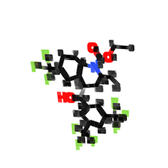 CCOC(=O)N1c2ccc(C(F)(F)F)cc2[C@@H](C(O)c2cc(C(F)(F)F)cc(C(F)(F)F)c2)CC1CC